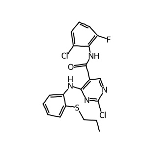 CCCSc1ccccc1Nc1nc(Cl)ncc1C(=O)Nc1c(F)cccc1Cl